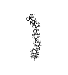 O=[N+]([O-])c1cn2c(n1)OC(COc1ccc(N3CCC(Oc4cccc(C(F)(F)F)c4)CC3)cc1)CC2